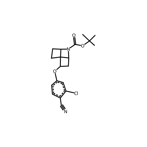 CC(C)(C)OC(=O)N1C2CCC23C(Oc2ccc(C#N)c(Cl)c2)CC13